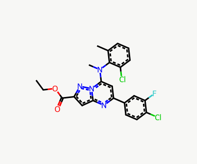 CCOC(=O)c1cc2nc(-c3ccc(Cl)c(F)c3)cc(N(C)c3c(C)cccc3Cl)n2n1